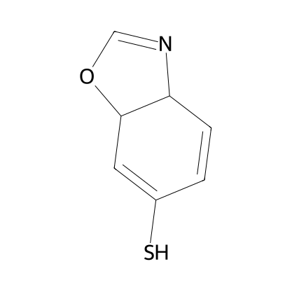 SC1=CC2OC=NC2C=C1